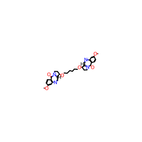 COc1ccc2c(c1)N=C[C@@H]1C(OCCCCCCOC3CCN4C(=O)c5ccc(OC)cc5N=C[C@H]34)CCN1C2=O